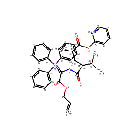 C=CCOC(=O)C(N1C(=O)[C@H]([C@@H](C)O)[C@H]1[C@@H](C)C(=O)Sc1ccccn1)=P(c1ccccc1)(c1ccccc1)c1ccccc1